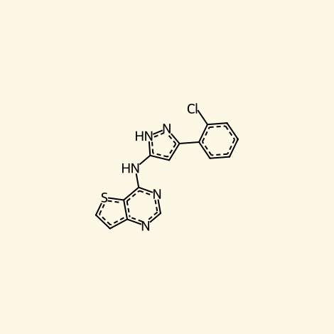 Clc1ccccc1-c1cc(Nc2ncnc3ccsc23)[nH]n1